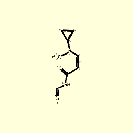 CN(/C=C\C(=O)NC=O)C1CC1